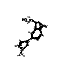 Cn1cc(-c2cnc3[nH]cc(C(=O)O)c3n2)cn1